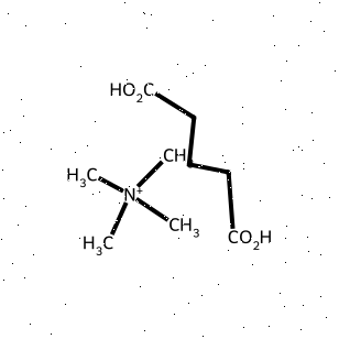 C[N+](C)(C)C.O=C(O)CCCC(=O)O